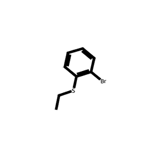 CCSc1[c]cccc1Br